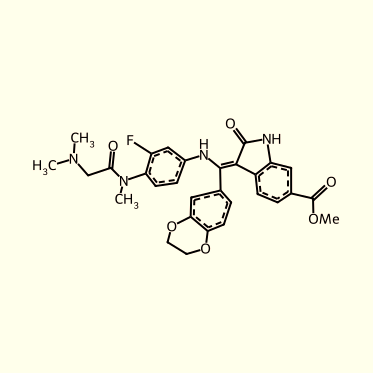 COC(=O)c1ccc2c(c1)NC(=O)/C2=C(\Nc1ccc(N(C)C(=O)CN(C)C)c(F)c1)c1ccc2c(c1)OCCO2